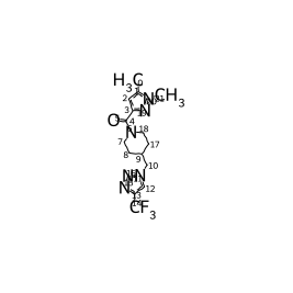 Cc1cc(C(=O)N2CCC(Cn3cc(C(F)(F)F)nn3)CC2)nn1C